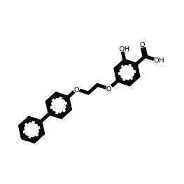 O=C(O)c1ccc(OCCOc2ccc(-c3ccccc3)cc2)cc1O